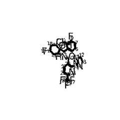 O=C(NC(c1cccc(F)c1Cl)[C@]1(O)CC[C@H](F)CC1)c1ccc(C(F)(F)F)nc1-n1nccn1